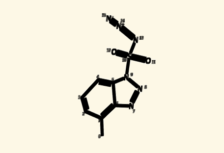 Cc1cccc2c1nnn2S(=O)(=O)N=[N+]=[N-]